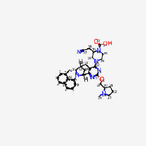 Cc1cccc2cccc(N3C[C@@H]4Cc5c(nc(OCC6CCCN6C)nc5N5CCN(C(=O)O)C(CC#N)C5)[C@H]3C4)c12